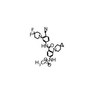 CCS(=O)(=O)Nc1ccc(C(=O)Nc2ccc(C#N)c(N3CCC(F)(F)CC3)c2)c(N2CCC3(CC2)CC3)c1